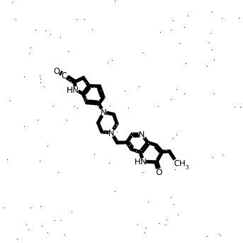 CCc1cc2ncc(CN3CCN(c4ccc5c(c4)NC(=C=O)C5)CC3)cc2[nH]c1=O